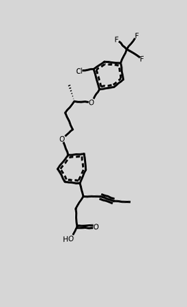 CC#CC(CC(=O)O)c1ccc(OCC[C@H](C)Oc2ccc(C(F)(F)F)cc2Cl)cc1